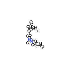 CC1(C)c2ccccc2-c2c(-c3cc(-c4ccc(-c5ccc(-c6cccc7c6C(C)(C)c6ccc8ccccc8c6-7)cc5)c5ccccc45)nc(-c4ccccc4)n3)cccc21